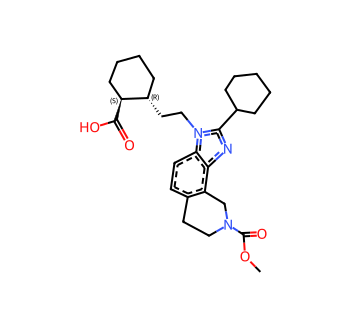 COC(=O)N1CCc2ccc3c(nc(C4CCCCC4)n3CC[C@H]3CCCC[C@@H]3C(=O)O)c2C1